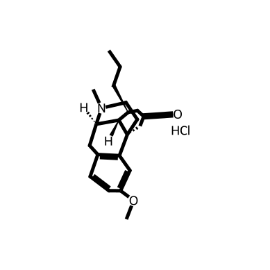 CCC[C@H]1CC(=O)C[C@]23CCN(C)[C@H](Cc4ccc(OC)cc42)[C@H]13.Cl